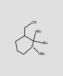 CCCCP1CCCC(CC#N)C1(CCCC)CCCC